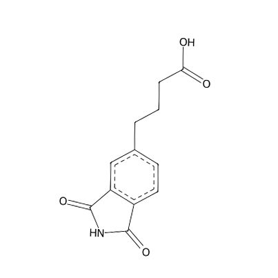 O=C(O)CCCc1ccc2c(c1)C(=O)NC2=O